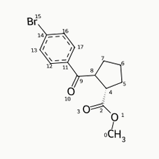 COC(=O)[C@H]1CCCC1C(=O)c1ccc(Br)cc1